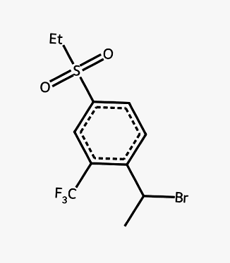 CCS(=O)(=O)c1ccc(C(C)Br)c(C(F)(F)F)c1